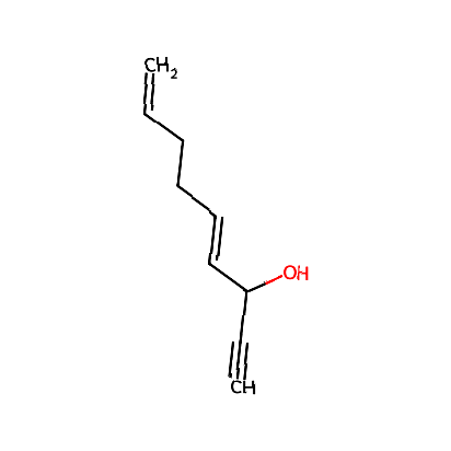 C#CC(O)/C=C/CCC=C